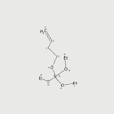 C=CCCO[Si](OCC)(OCC)OCC